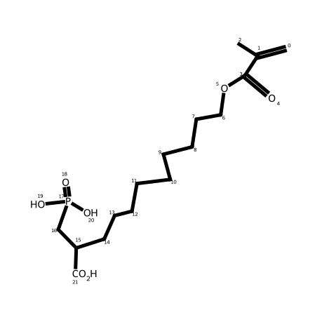 C=C(C)C(=O)OCCCCCCCCCC(CP(=O)(O)O)C(=O)O